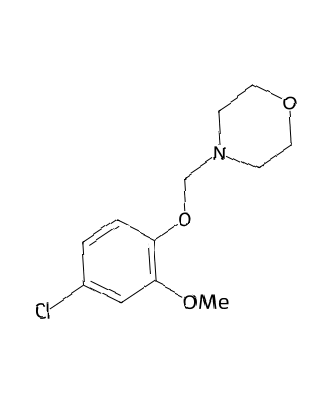 COc1cc(Cl)ccc1OCN1CCOCC1